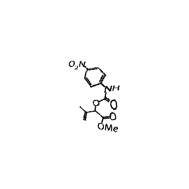 C=C(C)C(OC(=O)Nc1ccc([N+](=O)[O-])cc1)C(=O)OC